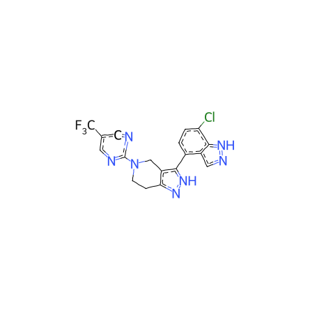 FC(F)(F)c1cnc(N2CCc3n[nH]c(-c4ccc(Cl)c5[nH]ncc45)c3C2)nc1